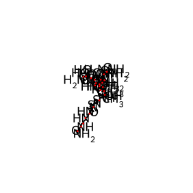 Cc1c(N)nc(C(CC(N)=O)NCC(N)C(N)=O)nc1N[C@@H](C(=O)NC(C)C(O)C(C)C(=O)NC(C(=O)NCCc1nc(-c2nc(C(=O)NCCCNCCCCNCCC(N)=O)cs2)cs1)C(C)O)C(O[C@@H]1O[C@@H](CO)[C@@H](O)[C@H](O)[C@@H]1O[C@@H]1O[C@H](CO)[C@@H](O)[C@H](OC(N)=O)[C@@H]1O)c1cnc[nH]1